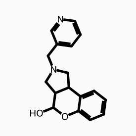 OC1Oc2ccccc2C2CN(Cc3cccnc3)CC12